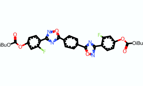 CC(C)COC(=O)Oc1ccc(-c2noc(-c3ccc(-c4nc(-c5ccc(OC(=O)OCC(C)C)cc5F)no4)cc3)n2)c(F)c1